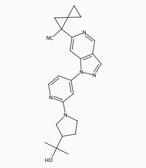 CC(C)(O)C1CCN(c2cc(-n3ncc4cnc(C5(C#N)CC56CC6)cc43)ccn2)C1